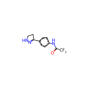 O=C(Nc1ccc(C2=NNCC2)cc1)C(F)(F)F